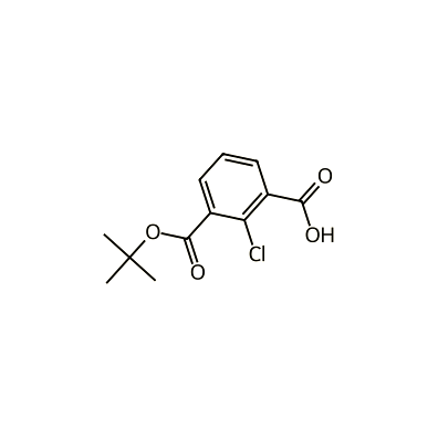 CC(C)(C)OC(=O)c1cccc(C(=O)O)c1Cl